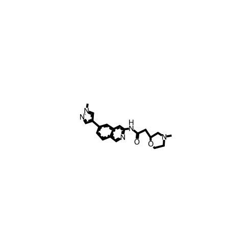 CN1CCOC(CC(=O)Nc2cc3cc(-c4cnn(C)c4)ccc3cn2)C1